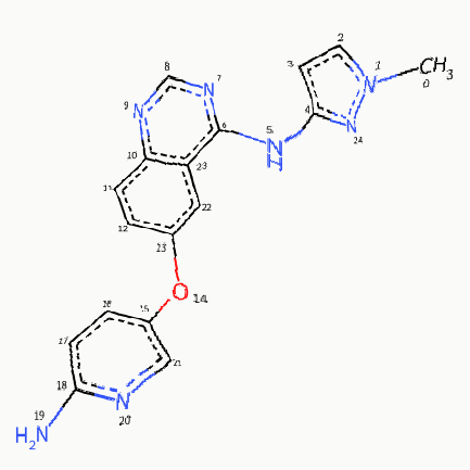 Cn1ccc(Nc2ncnc3ccc(Oc4ccc(N)nc4)cc23)n1